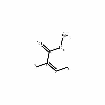 CC=C(C)C(=O)O[SiH3]